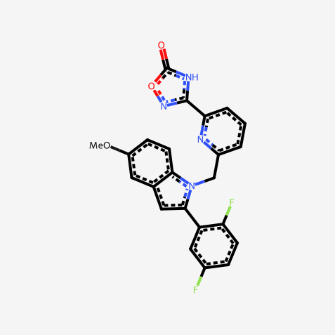 COc1ccc2c(c1)cc(-c1cc(F)ccc1F)n2Cc1cccc(-c2noc(=O)[nH]2)n1